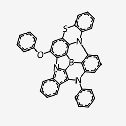 c1ccc(Oc2cc3c4c5c2-n2c6c(c7ccccc72)N(c2ccccc2)c2cccc(c2B56)N4c2ccccc2S3)cc1